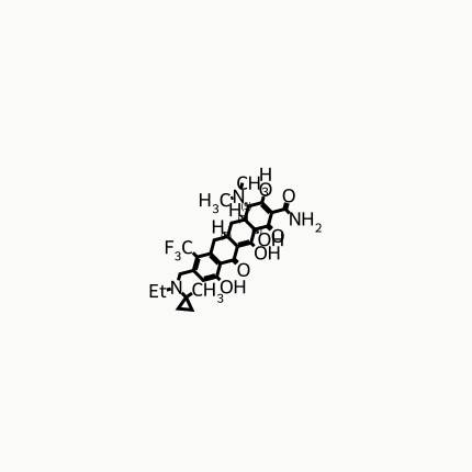 CCN(Cc1cc(O)c2c(c1C(F)(F)F)C[C@H]1C[C@H]3[C@H](N(C)C)C(O)=C(C(N)=O)C(=O)[C@@]3(O)C(O)=C1C2=O)C1(C)CC1